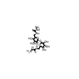 NNC(=S)NCC1O[C@H](O[C@H]2OC(CNC(=S)NN)[C@@H](O)[C@H](O)C2O)C(O)[C@@H](O)[C@@H]1O